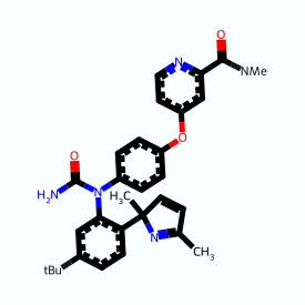 CNC(=O)c1cc(Oc2ccc(N(C(N)=O)c3cc(C(C)(C)C)ccc3C3(C)C=CC(C)=N3)cc2)ccn1